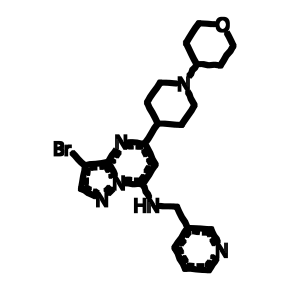 Brc1cnn2c(NCc3cccnc3)cc(C3CCN(C4CCOCC4)CC3)nc12